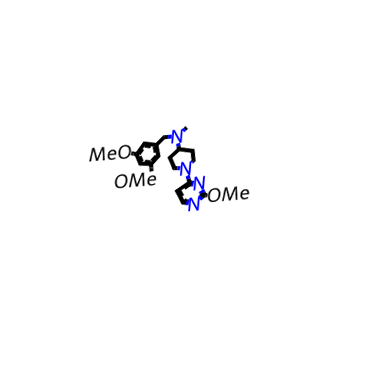 COc1cc(CN(C)C2CCN(c3ccnc(OC)n3)CC2)cc(OC)c1